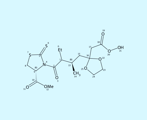 CCC(C(=O)N1C(=S)SC[C@H]1C(=O)OC)[C@H](C)CC1(CC(=O)OO)OCCO1